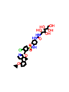 O=C(NC[C@H](O)[C@@H](O)[C@H](O)[C@H](O)CO)NC1CCC(NS(=O)(=O)c2ccc(Cl)c(COC3(c4cnccc4-c4ccccc4OC4CC4)CC3)c2)CC1